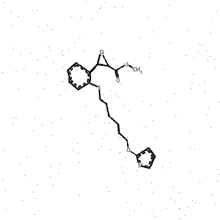 COC(=O)C1OC1c1ccccc1SCCCCCCOc1cccs1